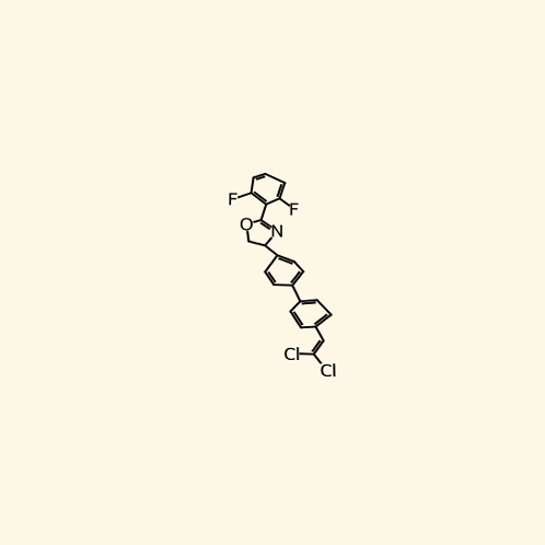 Fc1cccc(F)c1C1=NC(c2ccc(-c3ccc(C=C(Cl)Cl)cc3)cc2)CO1